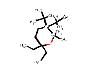 CCC1(CC)C[CH2][Ge]([C](C)(C)C)([C](C)(C)C)[Ge]([CH3])([CH3])[O]1